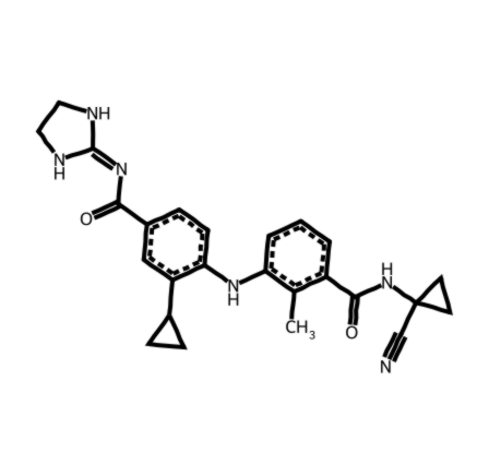 Cc1c(Nc2ccc(C(=O)N=C3NCCN3)cc2C2CC2)cccc1C(=O)NC1(C#N)CC1